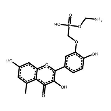 Cc1cc(O)cc2oc(-c3ccc(O)c(OCP(=O)(O)OCN)c3)c(O)c(=O)c12